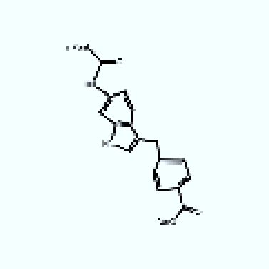 CCCCCC(=O)Nc1ccc2c(Cc3ccc(C(=O)OC)cc3)c[nH]c2c1